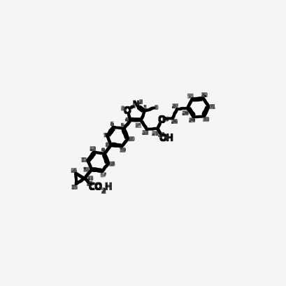 Cc1noc(-c2ccc(-c3ccc(C4(C(=O)O)CC4)cc3)cc2)c1CC(O)OCCc1ccccc1